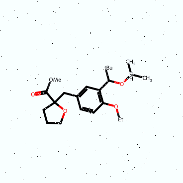 CCOc1ccc(CC2(C(=O)OC)CCCO2)cc1C(O[SiH](C)C)C(C)(C)C